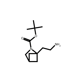 CC(C)(C)OC(=O)N1CC2CC1(CCN)C2